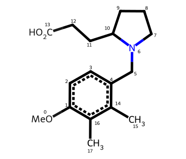 COc1ccc(CN2CCCC2CCC(=O)O)c(C)c1C